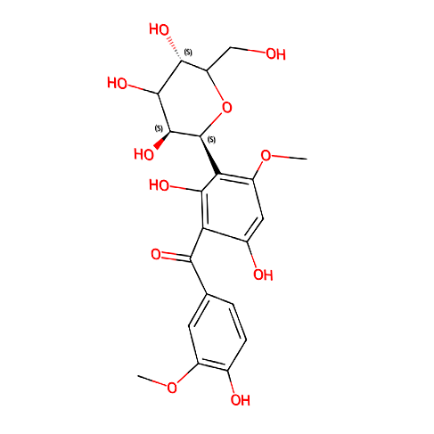 COc1cc(C(=O)c2c(O)cc(OC)c([C@@H]3OC(CO)[C@@H](O)C(O)[C@@H]3O)c2O)ccc1O